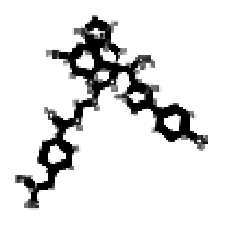 CCN(CC)Cc1ccc(C(=O)OCOC(=O)O[C@@](Cn2cncn2)(c2ccc(F)cc2F)[C@@H](C)c2nc(-c3ccc(C#N)cc3)cs2)cc1